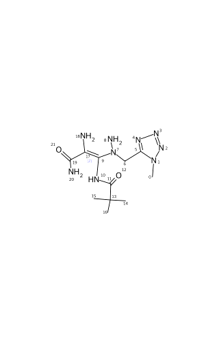 Cn1nnnc1CN(N)/C(NC(=O)C(C)(C)C)=C(\N)C(N)=O